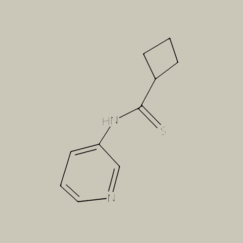 S=C(Nc1cccnc1)C1CCC1